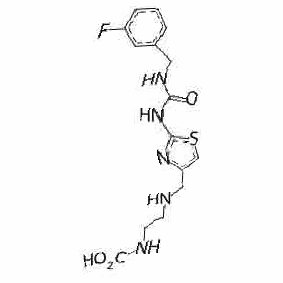 O=C(O)NCCNCc1csc(NC(=O)NCc2cccc(F)c2)n1